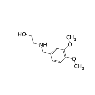 COc1ccc(CNCCO)cc1OC